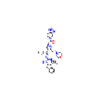 C=N/C(=N\C=C(/C)c1cn(CC(=O)N2CCc3[nH]nnc3C2)nc1CCN1CCOCC1)NC1Cc2ccccc2C1